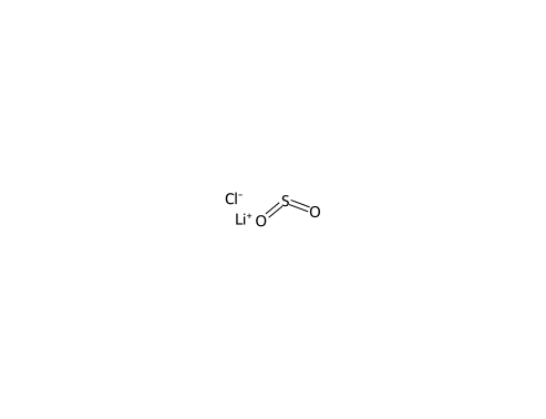 O=S=O.[Cl-].[Li+]